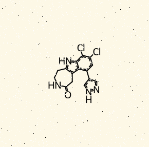 O=C1Cc2c([nH]c3c(Cl)c(Cl)cc(-c4cn[nH]c4)c23)CCN1